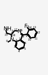 CN1c2ccccc2C(c2ccccc2F)=NCC1CN